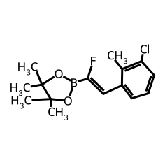 Cc1c(Cl)cccc1C=C(F)B1OC(C)(C)C(C)(C)O1